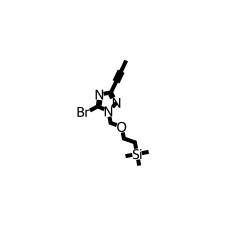 CC#Cc1nc(Br)n(COCC[Si](C)(C)C)n1